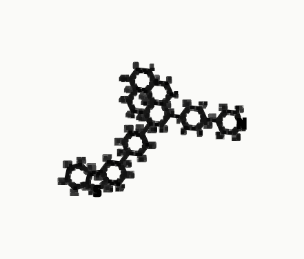 c1cc2ccc3c(-c4ccc(-c5ccncc5)cc4)cc(-c4ccc(-c5ccc6sc7ccccc7c6c5)cc4)c4ccc(c1)c2c34